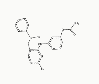 CC(=O)N(Cc1cnc(Cl)nc1Nc1cccc(OC(N)=O)c1)c1ccccc1